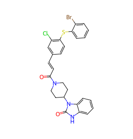 O=C(C=Cc1ccc(Sc2ccccc2Br)c(Cl)c1)N1CCC(n2c(=O)[nH]c3ccccc32)CC1